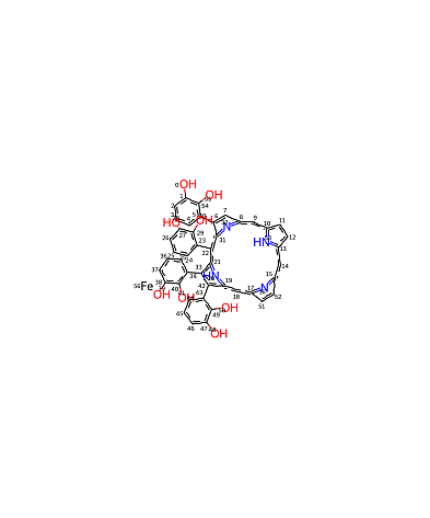 Oc1cccc(C2=Cc3cc4ccc(cc5nc(cc6[nH]c(c(-c7cccc(O)c7O)c2n3)c(-c2cccc(O)c2O)c6-c2cccc(O)c2O)C=C5)[nH]4)c1O.[Fe]